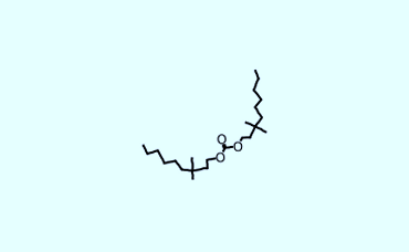 CCCCCCC(C)(C)CCOC(=O)OCCC(C)(C)CCCCCC